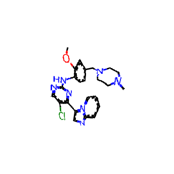 COc1cc(CN2CCN(C)CC2)ccc1Nc1ncc(Cl)c(-c2cnc3ccccn23)n1